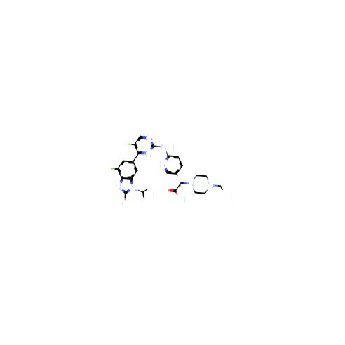 CCN1CCN([C@@H](C(=O)O)c2ccc(Nc3ncc(F)c(-c4cc(F)c5nc(C)n(C(C)C)c5c4)n3)nc2)CC1